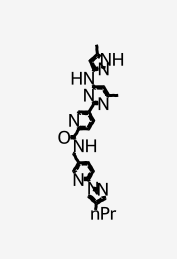 CCCc1cnn(-c2ccc(CNC(=O)c3ccc(-c4nc(C)cc(Nc5cc(C)[nH]n5)n4)cn3)cn2)c1